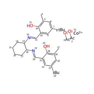 CC(=O)[O-].CC(=O)[O-].Cc1cc(C(C)(C)C)cc(C=NC2CCCCC2N=Cc2cc(C(C)(C)C)cc(C)c2O)c1O.[Co+2]